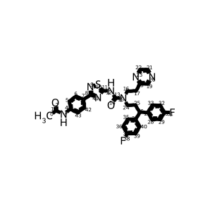 CC(=O)Nc1ccc(-c2nsc(NC(=O)N(CCc3cnccn3)CCC(c3ccc(F)cc3)c3ccc(F)cc3)n2)cc1